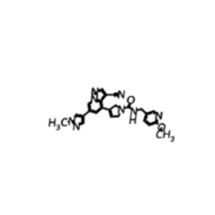 COc1ccc(CNC(=O)N2CC=C(c3cc(-c4cnn(C)c4)cn4ncc(C#N)c34)C2)cn1